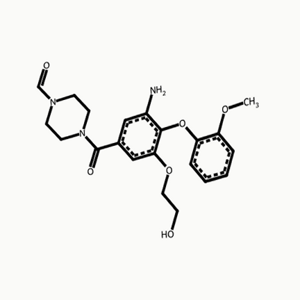 COc1ccccc1Oc1c(N)cc(C(=O)N2CCN(C=O)CC2)cc1OCCO